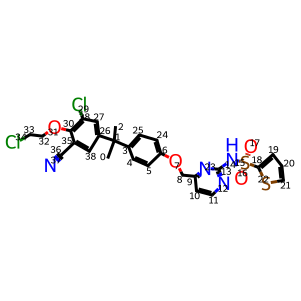 CC(C)(c1ccc(OCc2ccnc(NS(=O)(=O)c3cccs3)n2)cc1)c1cc(Cl)c(OCCCl)c(C#N)c1